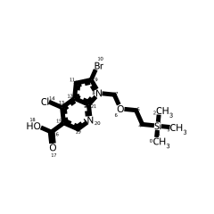 C[Si](C)(C)CCOCn1c(Br)cc2c(Cl)c(C(=O)O)cnc21